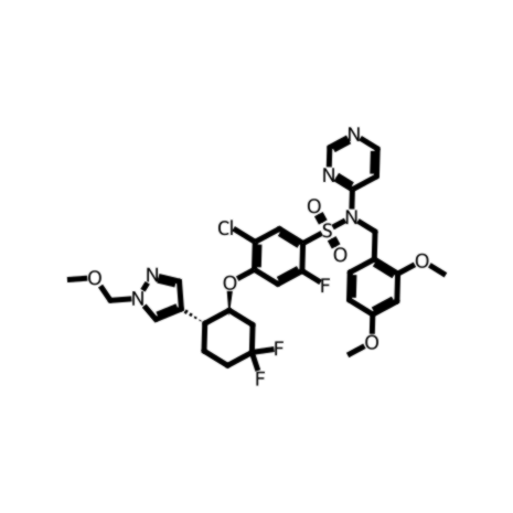 COCn1cc([C@H]2CCC(F)(F)C[C@@H]2Oc2cc(F)c(S(=O)(=O)N(Cc3ccc(OC)cc3OC)c3ccncn3)cc2Cl)cn1